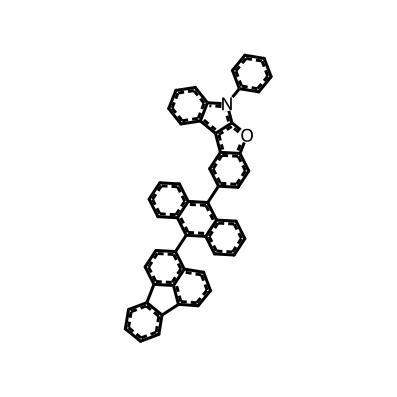 c1ccc(-n2c3ccccc3c3c4cc(-c5c6ccccc6c(-c6ccc7c8c(cccc68)-c6ccccc6-7)c6ccccc56)ccc4oc32)cc1